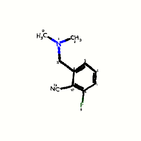 CN(C)Cc1cccc(F)c1C#N